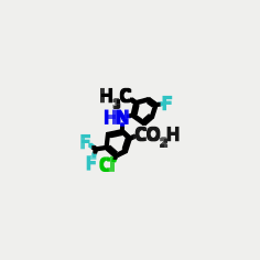 Cc1cc(F)ccc1Nc1cc(C(F)F)c(Cl)cc1C(=O)O